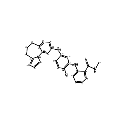 CNC(=O)c1ccccc1Nc1nc(Nc2ccc3c(c2)-n2ccnc2CCC3)ncc1Cl